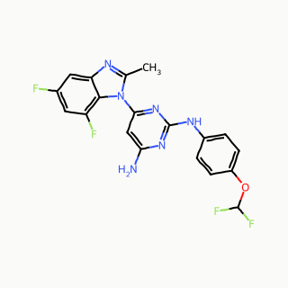 Cc1nc2cc(F)cc(F)c2n1-c1cc(N)nc(Nc2ccc(OC(F)F)cc2)n1